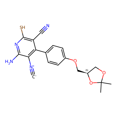 [C-]#[N+]c1c(N)nc(S)c(C#N)c1-c1ccc(OC[C@H]2COC(C)(C)O2)cc1